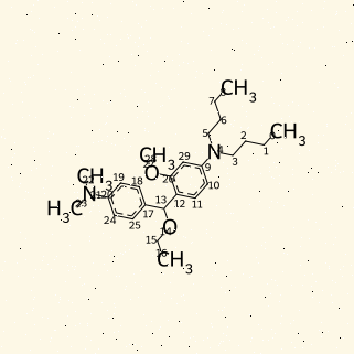 CCCCN(CCCC)c1ccc(C(OCC)c2ccc(N(C)C)cc2)c(OC)c1